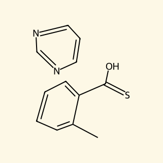 Cc1ccccc1C(O)=S.c1cncnc1